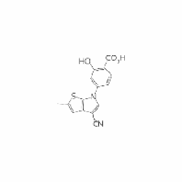 Cc1cc2c(C#N)cn(-c3ccc(C(=O)O)c(O)c3)c2s1